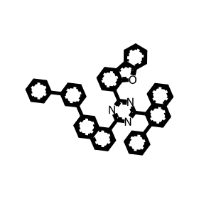 c1ccc(-c2cccc(-c3ccc4cccc(-c5nc(-c6c(-c7ccccc7)ccc7ccccc67)nc(-c6cccc7c6oc6ccccc67)n5)c4c3)c2)cc1